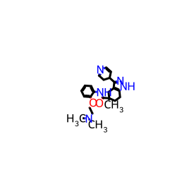 CN(C)CCOc1ccccc1NC(=O)C1(C)CCc2[nH]nc(C3C=CN=CC3)c2C1